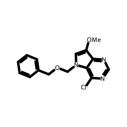 COc1cn(COCc2ccccc2)c2c(Cl)ncnc12